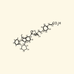 Cn1c(-c2ccccn2)c(C2CCCCC2)c2ccc(C(=O)NC(C)(C)/C=C/c3ccc(/C=C/C(=O)O)cc3)cc21